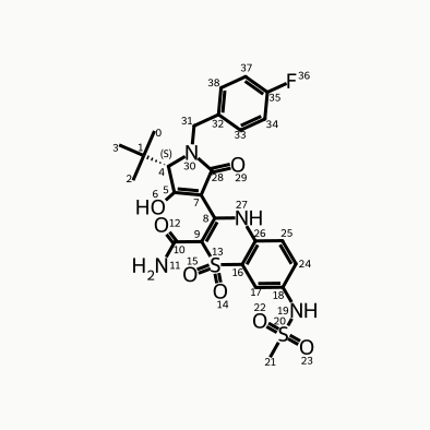 CC(C)(C)[C@H]1C(O)=C(C2=C(C(N)=O)S(=O)(=O)c3cc(NS(C)(=O)=O)ccc3N2)C(=O)N1Cc1ccc(F)cc1